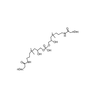 CCCCCCCCCCCC(=O)NCCC[N+](C)(C)CC(O)COP(=O)(O)OCC(O)C[N+](C)(C)CCCNC(=O)CCCCCCCCCCC